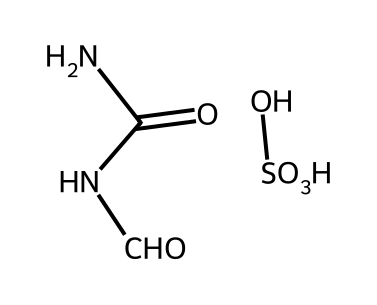 NC(=O)NC=O.O=S(=O)(O)O